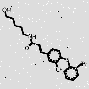 CC(C)c1ccccc1Sc1ccc(C=CC(=O)NCCCCCO)cc1C(F)(F)F